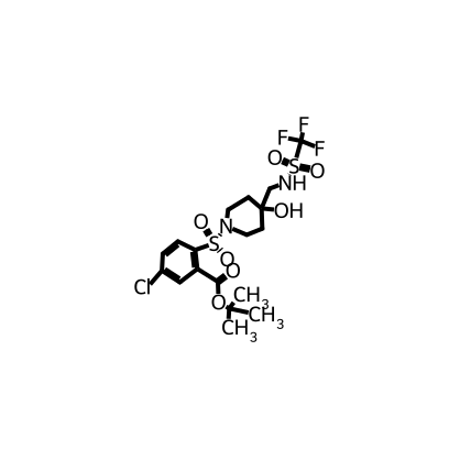 CC(C)(C)OC(=O)c1cc(Cl)ccc1S(=O)(=O)N1CCC(O)(CNS(=O)(=O)C(F)(F)F)CC1